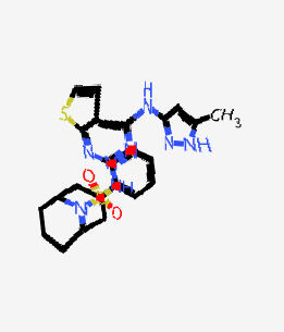 Cc1cc(Nc2nc(NC3CC4CCCC(C3)N4S(=O)(=O)c3ccccn3)nc3sccc23)n[nH]1